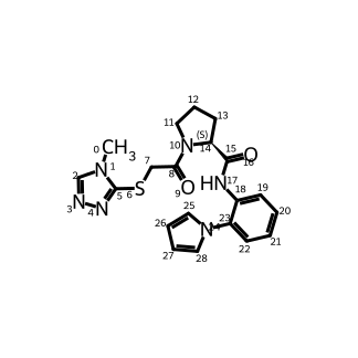 Cn1cnnc1SCC(=O)N1CCC[C@H]1C(=O)Nc1ccccc1-n1cccc1